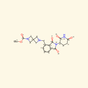 CC(C)(C)OC(=O)N1CC2(CN(Cc3cccc4c3C(=O)N(C3CCC(=O)NC3=O)C4=O)C2)C1